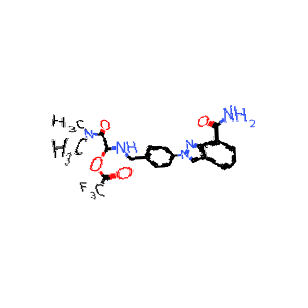 CN(C)C(=O)C(NCc1ccc(-n2cc3cccc(C(N)=O)c3n2)cc1)OC(=O)C(F)(F)F